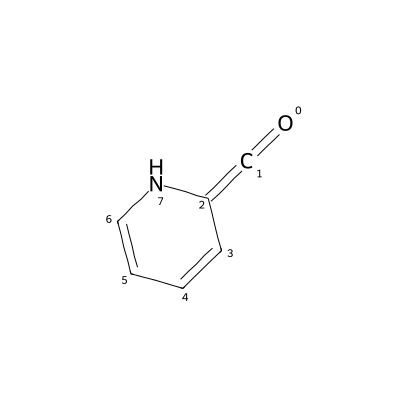 O=C=C1C=CC=CN1